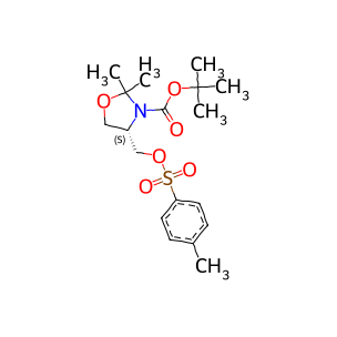 Cc1ccc(S(=O)(=O)OC[C@@H]2COC(C)(C)N2C(=O)OC(C)(C)C)cc1